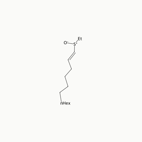 CCCCCCCCCC/C=C/[S+]([O-])CC